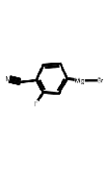 N#Cc1cc[c]([Mg][Br])cc1F